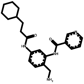 NCc1ccc(NC(=O)CCC2CCCCC2)cc1NC(=O)c1cccnc1